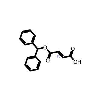 O=C(O)/C=C/C(=O)OC(c1ccccc1)c1ccccc1